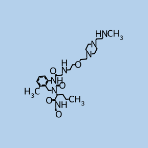 CCCC(C(=O)NC=O)N(C=O)Cc1c(C)cccc1NC(=O)CNCCOCCN1CCN(CCNC)CC1